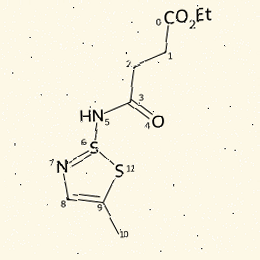 CCOC(=O)CCC(=O)NS1=NC=C(C)S1